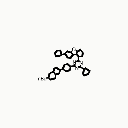 CCCCc1ccc2cc(-c3ccc(-c4nc(-c5ccccc5)nc(-c5cccc6oc7cc(-c8ccccc8)ccc7c56)n4)cc3)ccc2c1